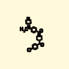 CN(c1ccncc1)c1ccc(C(=O)N2CCC(C(=O)c3ccc(Cl)cc3)CC2)cc1